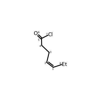 CC/C=C\CCC(=O)Cl